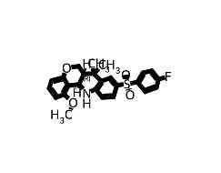 COc1cccc2c1[C@H]1Nc3ccc(S(=O)(=O)c4ccc(F)cc4)cc3C(C)(C)[C@H]1CO2